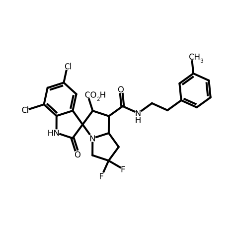 Cc1cccc(CCNC(=O)C2C3CC(F)(F)CN3C3(C(=O)Nc4c(Cl)cc(Cl)cc43)C2C(=O)O)c1